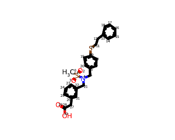 CS(=O)(=O)N(Cc1ccc(SCCc2ccccc2)cc1)Cc1cccc(CC(=O)O)c1